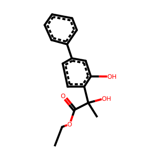 CCOC(=O)C(C)(O)c1ccc(-c2ccccc2)cc1O